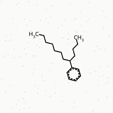 CCCCCCCC(CCCC)c1ccccc1